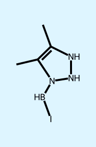 CC1=C(C)N(BI)NN1